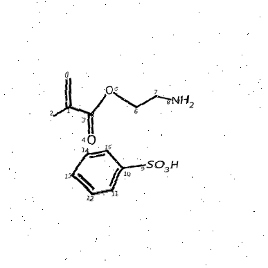 C=C(C)C(=O)OCCN.O=S(=O)(O)c1ccccc1